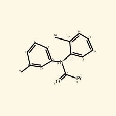 Cc1cccc(N(C(=O)C(C)C)c2ccccc2C)c1